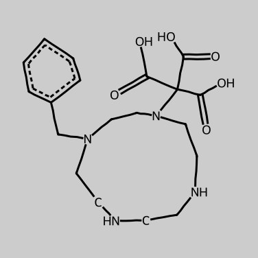 O=C(O)C(C(=O)O)(C(=O)O)N1CCNCCNCCN(Cc2ccccc2)CC1